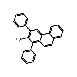 Nc1c(-c2ccccc2)cc2c(ccc3ccccc32)c1-c1ccccc1